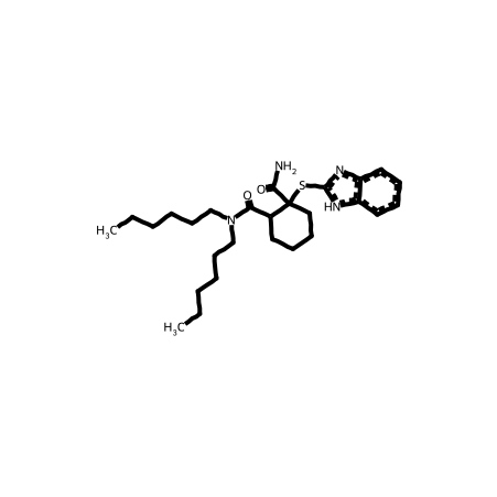 CCCCCCN(CCCCCC)C(=O)C1CCCCC1(Sc1nc2ccccc2[nH]1)C(N)=O